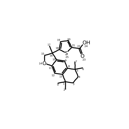 CC1(C)CCC(C)(C)c2cc3c(cc21)OCC3(C)c1c[c]c(C(=O)O)s1